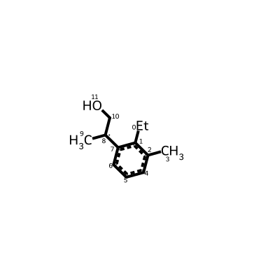 CCc1c(C)cccc1[C](C)CO